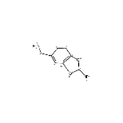 CC(C)C1Oc2ccc(CN)cc2O1